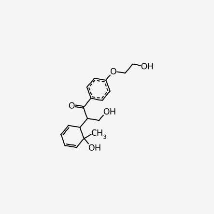 CC1(O)C=CC=CC1C(CO)C(=O)c1ccc(OCCO)cc1